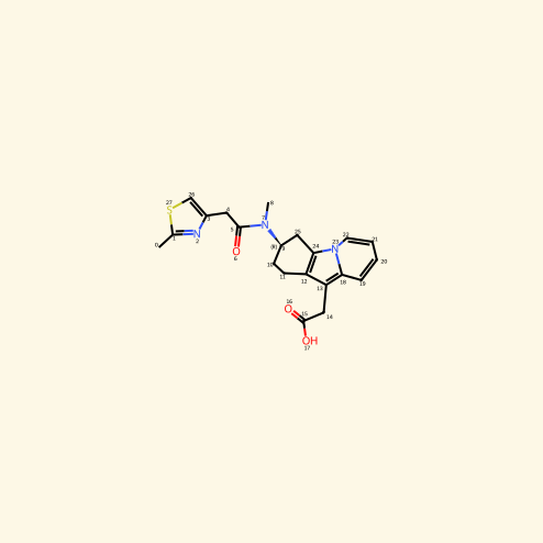 Cc1nc(CC(=O)N(C)[C@@H]2CCc3c(CC(=O)O)c4ccccn4c3C2)cs1